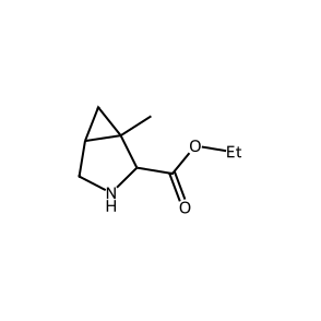 CCOC(=O)C1NCC2CC21C